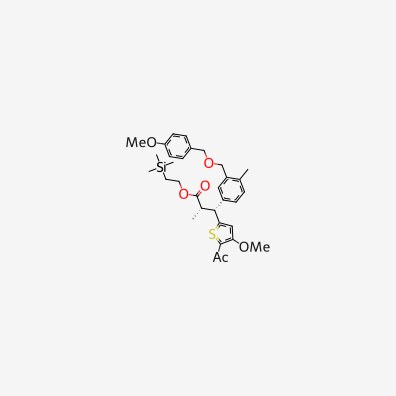 COc1ccc(COCc2cc([C@H](c3cc(OC)c(C(C)=O)s3)[C@H](C)C(=O)OCC[Si](C)(C)C)ccc2C)cc1